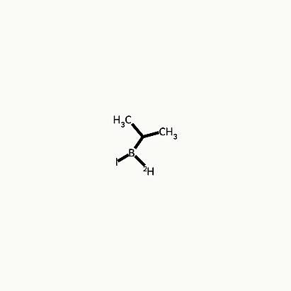 [2H]B(I)C(C)C